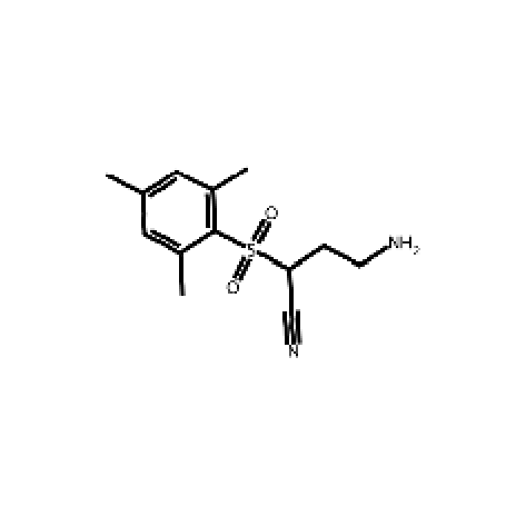 Cc1cc(C)c(S(=O)(=O)C(C#N)CCN)c(C)c1